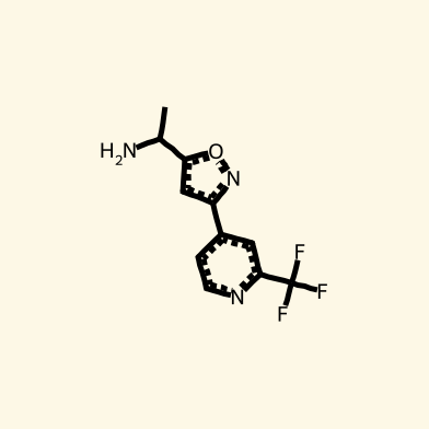 CC(N)c1cc(-c2ccnc(C(F)(F)F)c2)no1